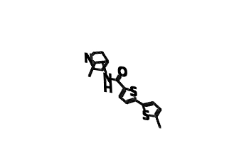 Cc1ccc(-c2ccc(C(=O)NC3C4CCN(CC4)C3C)s2)s1